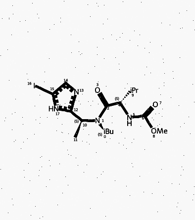 CC[C@H](C)N(C(=O)[C@@H](NC(=O)OC)C(C)C)[C@@H](C)c1ncc(I)[nH]1